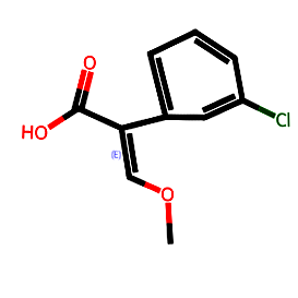 CO/C=C(/C(=O)O)c1cccc(Cl)c1